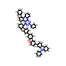 c1ccc(-c2nc(-c3ccccc3-c3cccc4sc5ccccc5c34)nc(-c3cccc4sc5cc(-c6ccc7c(c6)oc6ccc(-c8ccc9c%10ccccc%10n(-c%10ccccc%10)c9c8)cc67)ccc5c34)n2)cc1